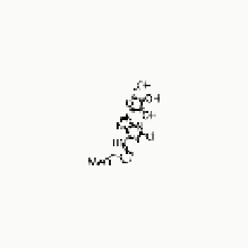 COCC1CCCN1Nc1nc(Cl)nc2c1ncn2[C@@H]1O[C@H](CO)[C@@H](O)[C@H]1O